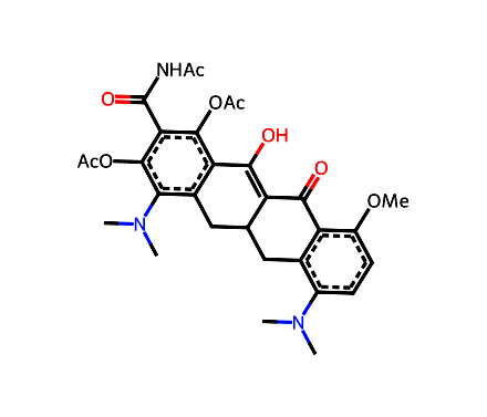 COc1ccc(N(C)C)c2c1C(=O)C1=C(O)c3c(c(N(C)C)c(OC(C)=O)c(C(=O)NC(C)=O)c3OC(C)=O)CC1C2